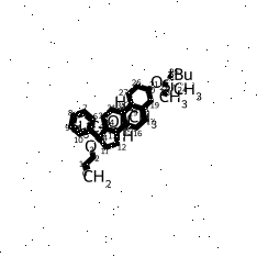 C=CCOC1(c2ccccc2)CC[C@@]2(O)[C@@H]3CCC4CC(O[Si](C)(C)C(C)(C)C)CC[C@]4(C)[C@@H]3CC[C@]12C